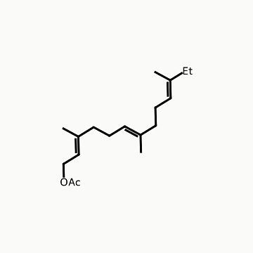 [CH2]CC(C)=CCCC(C)=CCCC(C)=CCOC(C)=O